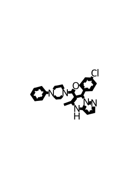 CC1=C(C(=O)N2CCN(c3ccccc3)CC2)C(c2ccc(Cl)cc2)n2nccc2N1